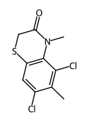 Cc1c(Cl)cc2c(c1Cl)N(C)C(=O)CS2